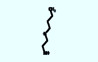 CCCC[N]CC[NH]